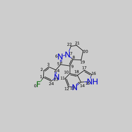 Fc1ccc(-c2nn3c(c2-c2ccnc4[nH]ccc24)CCCC3)nc1